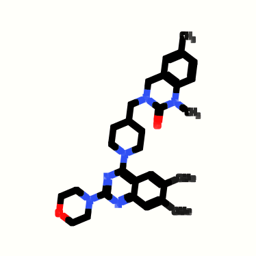 COc1cc2nc(N3CCOCC3)nc(N3CCC(CN4Cc5cc(C)ccc5N(C)C4=O)CC3)c2cc1OC